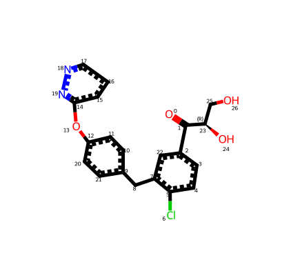 O=C(c1ccc(Cl)c(Cc2ccc(Oc3cccnn3)cc2)c1)[C@H](O)CO